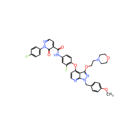 COc1ccc(Cn2nc(OCCN3CCOCC3)c3c(Oc4ccc(NC(=O)c5ccnn(-c6ccc(F)cc6)c5=O)cc4F)ccnc32)cc1